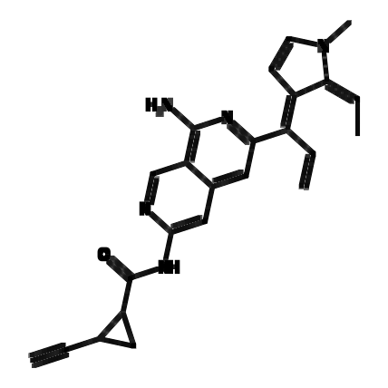 C#CC1CC1C(=O)Nc1cc2cc(/C(C=C)=c3\ccn(C)\c3=C\C)nc(N)c2cn1